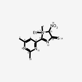 CC[N+]1(C)C(c2cc(C)nc(C)n2)=NC(=S)C1[N+](=O)[O-]